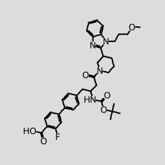 COCCCn1c(C2CCCN(C(=O)CC(Cc3ccc(-c4ccc(C(=O)O)c(F)c4)cc3)NC(=O)OC(C)(C)C)C2)nc2ccccc21